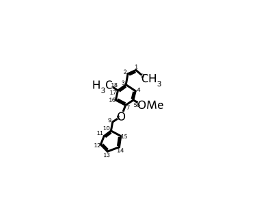 C/C=C\c1cc(OC)c(OCc2ccccc2)cc1C